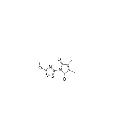 COc1nsc(N2C(=O)C(C)=C(C)C2=O)n1